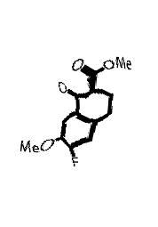 COC(=O)C1CCc2cc(F)c(OC)cc2C1=O